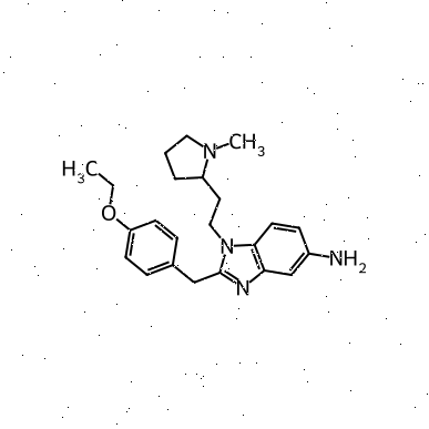 CCOc1ccc(Cc2nc3cc(N)ccc3n2CCC2CCCN2C)cc1